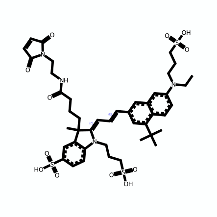 CCN(CCCS(=O)(=O)O)c1ccc2c(C(C)(C)C)cc(/C=C/C=C3\N(CCCS(=O)(=O)O)c4ccc(S(=O)(=O)O)cc4C3(C)CCCC(=O)NCCN3C(=O)C=CC3=O)cc2c1